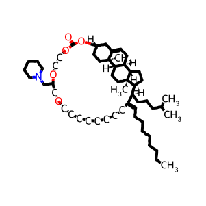 CCCCCCCC/C=C1\CCCCCCCCOCC(CN2CCCCC2)OCCOC(=O)O[C@H]2CC[C@@]3(C)C(=CC[C@H]4[C@@H]5CC[C@H]([C@H]1CCCC(C)C)[C@@]5(C)CC[C@@H]43)C2